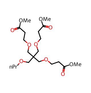 CCCOCC(COCCC(=O)OC)(COCCC(=O)OC)COCCC(=O)OC